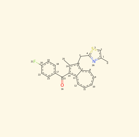 Cc1csc(Cc2c3cccccc-3c(C(=O)c3ccc(F)cc3)c2C)n1